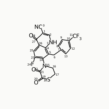 N#Cc1c[nH]c2c(Cc3ccc(C(F)(F)F)cc3)c(N3CCSC(=O)C3=O)c(F)cc2c1=O